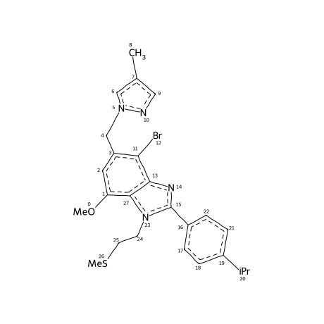 COc1cc(Cn2cc(C)cn2)c(Br)c2nc(-c3ccc(C(C)C)cc3)n(CCSC)c12